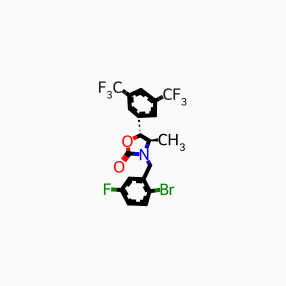 C[C@@H]1[C@@H](c2cc(C(F)(F)F)cc(C(F)(F)F)c2)OC(=O)N1Cc1cc(F)ccc1Br